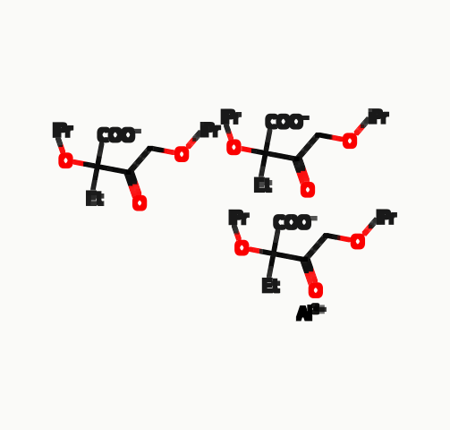 CCC(OC(C)C)(C(=O)[O-])C(=O)COC(C)C.CCC(OC(C)C)(C(=O)[O-])C(=O)COC(C)C.CCC(OC(C)C)(C(=O)[O-])C(=O)COC(C)C.[Al+3]